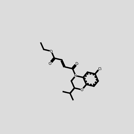 CCOC(=O)C=CC(=O)N1CC(C(C)C)Oc2ccc(Cl)cc21